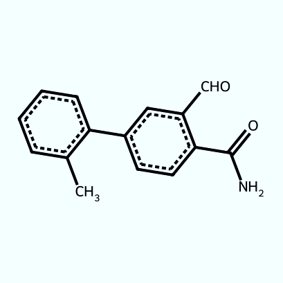 Cc1ccccc1-c1ccc(C(N)=O)c(C=O)c1